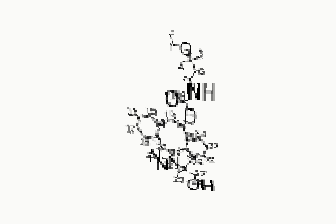 CCOC(C)(C)CCNC(=O)OC1Cc2ccccc2-c2nnn(C(C)(C)CO)c2-c2ccccc21